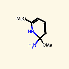 COC1=CC=CC(N)(OC)N1